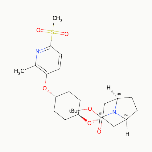 Cc1nc(S(C)(=O)=O)ccc1O[C@H]1CC[C@H](O[C@@H]2C[C@H]3CC[C@@H](C2)N3C(=O)OC(C)(C)C)CC1